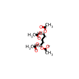 CC(=O)O[SiH](CCC[SiH](OC(C)=O)OC(C)=O)OC(C)=O